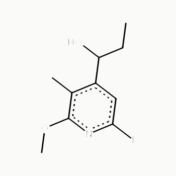 CCC(O)c1cc(I)nc(OC)c1C